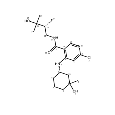 CC1(O)CCC[C@H](Nc2cc(Cl)ncc2C(=O)NC[C@@H](F)C(C)(C)O)C1